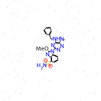 COc1nc2c(S(N)(=O)=O)cccc2n1-c1nnc(N(C)C)c(NCc2ccccc2)n1